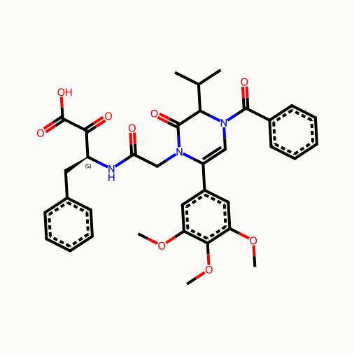 COc1cc(C2=CN(C(=O)c3ccccc3)C(C(C)C)C(=O)N2CC(=O)N[C@@H](Cc2ccccc2)C(=O)C(=O)O)cc(OC)c1OC